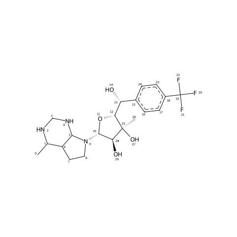 CC1NCNC2C1CCN2[C@@H]1O[C@H]([C@H](O)c2ccc(C(F)(F)F)cc2)[C@@](C)(O)[C@H]1O